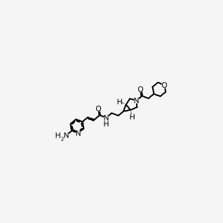 Nc1ccc(/C=C/C(=O)NCCC2[C@H]3CN(C(=O)CC4CCOCC4)C[C@@H]23)cn1